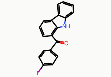 O=C(c1ccc(I)cc1)c1cccc2c1[nH]c1ccccc12